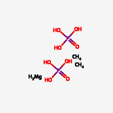 C.C.O=P(O)(O)O.O=P(O)(O)O.[MgH2]